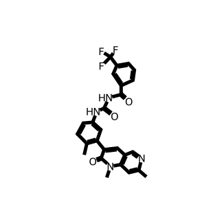 Cc1cc2c(cn1)cc(-c1cc(NC(=O)NC(=O)c3cccc(C(F)(F)F)c3)ccc1C)c(=O)n2C